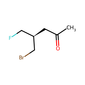 CC(=O)C[C@H](CF)CBr